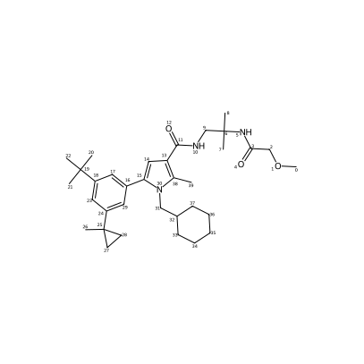 COCC(=O)NC(C)(C)CNC(=O)c1cc(-c2cc(C(C)(C)C)cc(C3(C)CC3)c2)n(CC2CCCCC2)c1C